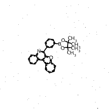 CC1(C)OB(c2cccc(-c3nc4ccccc4c4c3oc3ccccc34)c2)OC1(C)C